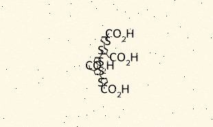 O=C(O)Cc1cc(-c2ccc(C(=O)O)s2)sc1-c1ccc(-c2sc(-c3ccc(C(=O)O)s3)cc2CC(=O)O)s1